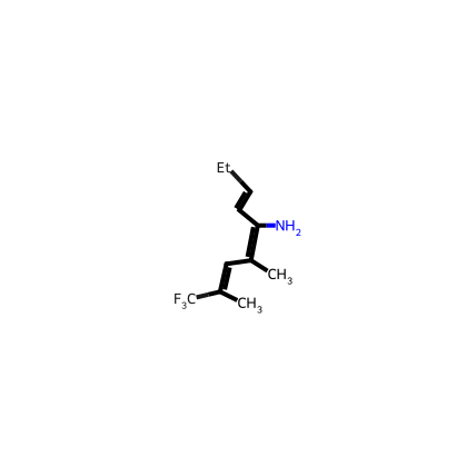 CC/C=C/C(N)=C(C)\C=C(/C)C(F)(F)F